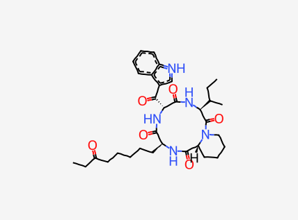 CCC(=O)CCCCC[C@@H]1NC(=O)[C@H]2CCCCN2C(=O)[C@H](C(C)CC)NC(=O)[C@@H](C(=O)c2c[nH]c3ccccc23)NC1=O